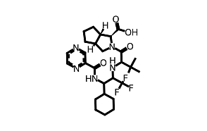 CC(C)(C)C(NC(C(NC(=O)c1cnccn1)C1CCCCC1)C(F)(F)F)C(=O)N1C[C@@H]2CCC[C@@H]2[C@H]1C(=O)O